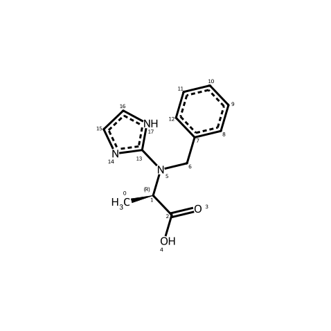 C[C@H](C(=O)O)N(Cc1ccccc1)c1ncc[nH]1